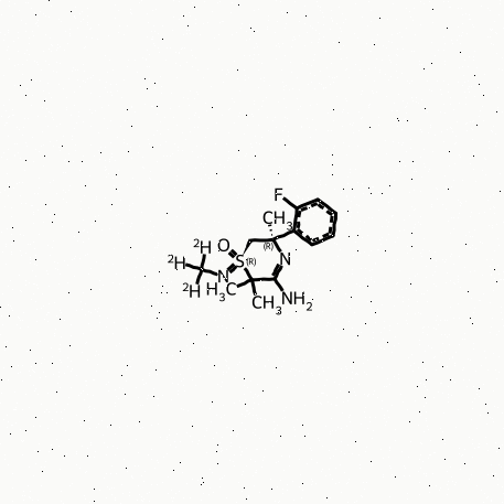 [2H]C([2H])([2H])N=[S@@]1(=O)C[C@@](C)(c2ccccc2F)N=C(N)C1(C)C